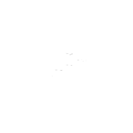 C[Si](C)(C)CC(=O)c1cccc(N)c1